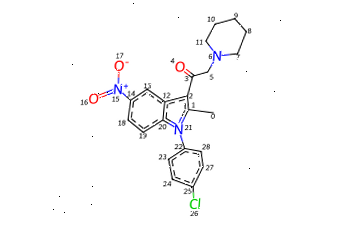 Cc1c(C(=O)CN2CCCCC2)c2cc([N+](=O)[O-])ccc2n1-c1ccc(Cl)cc1